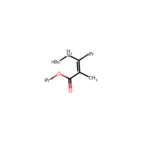 CCCC[SiH2]C(=C(C)C(=O)OC(C)C)C(C)C